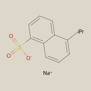 CC(C)c1cccc2c(S(=O)(=O)[O-])cccc12.[Na+]